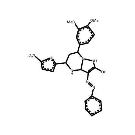 COc1ccc(C2CC(c3ccc([N+](=O)[O-])s3)NC3C(N=Nc4ccccc4)=C(O)NN32)cc1OC